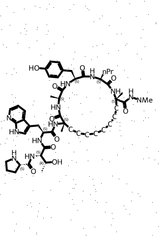 CCC[C@@H]1NC(=O)[C@H](Cc2ccc(O)cc2)NC(=O)[C@H](C)NC(=O)[C@@](C)(NC(=O)[C@H](Cc2c[nH]c3ncccc23)NC(=O)[C@@H](NC(=O)[C@@H]2CCCN2)[C@@H](C)O)CCCCCCCC[C@@](C)(C(=O)NNC)NC1=O